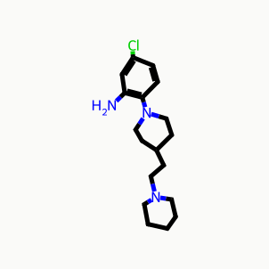 Nc1cc(Cl)ccc1N1CCC(CCN2CCCCC2)CC1